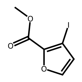 COC(=O)c1occc1I